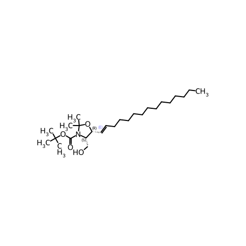 CCCCCCCCCCCCC/C=C/[C@H]1OC(C)(C)N(C(=O)OC(C)(C)C)[C@H]1CO